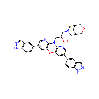 OC(CN1CC2COCC(C2)C1)CN1c2ncc(-c3ccc4[nH]ncc4c3)cc2Oc2cc(-c3ccc4[nH]ncc4c3)cnc21